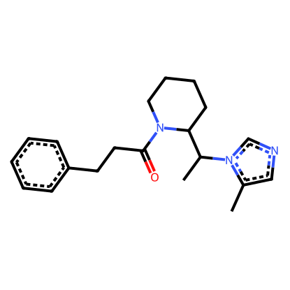 Cc1cncn1C(C)C1CCCCN1C(=O)CCc1ccccc1